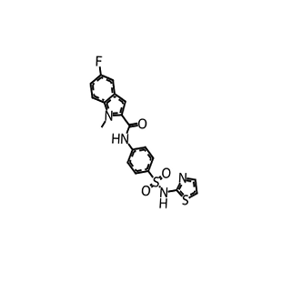 Cn1c(C(=O)Nc2ccc(S(=O)(=O)Nc3nccs3)cc2)cc2cc(F)ccc21